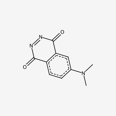 CN(C)c1ccc2c(c1)C(=O)N=NC2=O